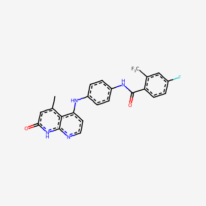 Cc1cc(=O)[nH]c2nccc(Nc3ccc(NC(=O)c4ccc(F)cc4C(F)(F)F)cc3)c12